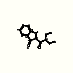 CCC(CC)C(=O)n1sc2ccccc2c1=O